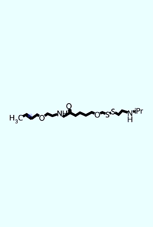 C/C=C/COCCNCC(=O)CCCCOCSSCCNC(C)C